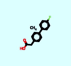 C.O=C(O)Cc1ccc(-c2ccc(F)cc2)cc1